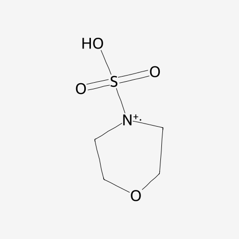 O=S(=O)(O)[N+]1CCOCC1